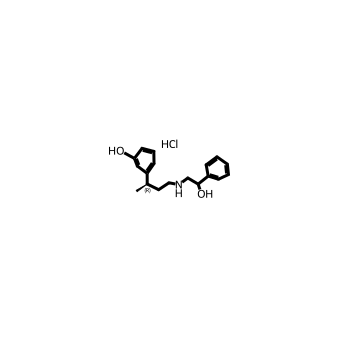 C[C@H](CCNCC(O)c1ccccc1)c1cccc(O)c1.Cl